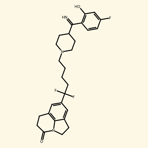 N=C(c1ccc(F)cc1O)C1CCN(CCCCC(F)(F)c2cc3c4c(c2)CCN4C(=O)CC3)CC1